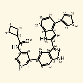 O=C(Nc1cncc(-c2ccc3[nH]nc(-c4cc5c(-c6ccsc6)ccnc5[nH]4)c3n2)c1)C1CCC1